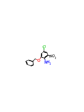 Nc1c(OCc2ccccc2)cc(Cl)cc1[N+](=O)[O-]